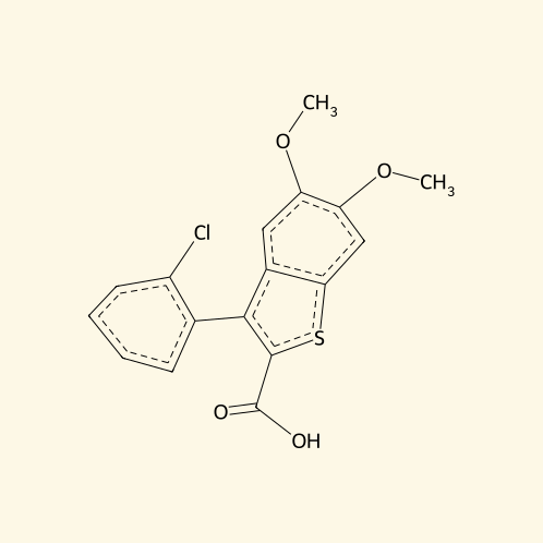 COc1cc2sc(C(=O)O)c(-c3ccccc3Cl)c2cc1OC